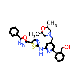 C[C@@H]1CN(Cc2cc(Nc3ncc(-c4nnc(-c5ccccc5)o4)s3)nc(-c3ccccc3CO)c2)C[C@H](C)O1